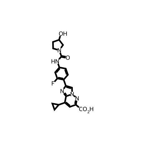 O=C(O)c1cc(C2CC2)c2nc(-c3ccc(NC(=O)N4CCC(O)C4)cc3F)cn2n1